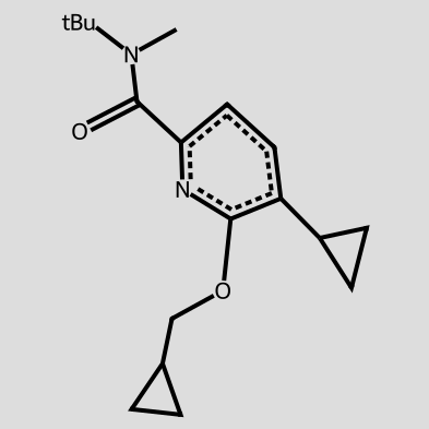 CN(C(=O)c1ccc(C2CC2)c(OCC2CC2)n1)C(C)(C)C